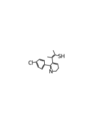 C/C(S)=C(\C)C1=CCCN=C1c1ccc(Cl)cc1